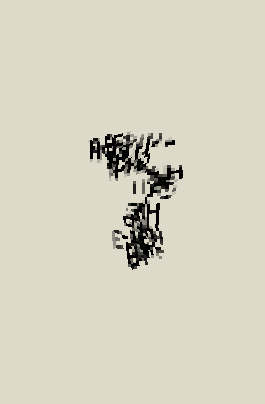 CC[C@H](NC)C(=O)NC1C(=O)N2[C@@H](CC[C@@H]1CNC(=O)CCCNc1c(NCCCCNC(=O)[C@@H](NC(=O)[C@@H]3CC[C@@H]4CC[C@H](CNCc5ccccc5)[C@H](NC(=O)[C@H](CC)NC)C(=O)N43)c3ccccc3)c(=O)c1=O)CC[C@H]2C(=O)NC(c1ccccc1)c1ccccc1